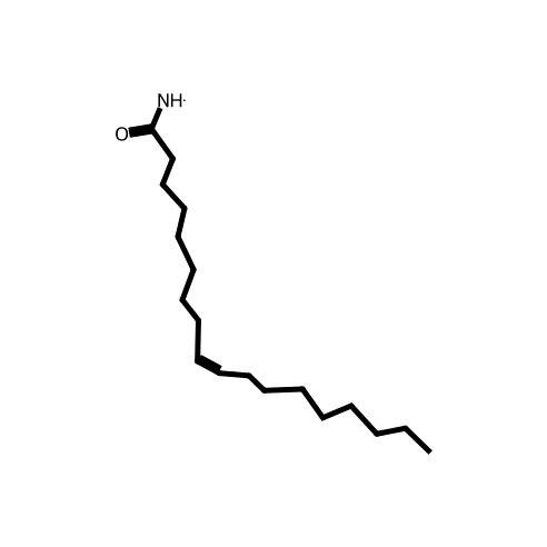 CCCCCCCC/C=C\CCCCCCCC([NH])=O